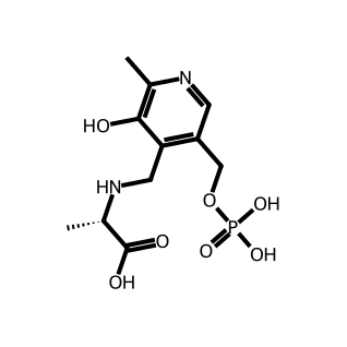 Cc1ncc(COP(=O)(O)O)c(CN[C@@H](C)C(=O)O)c1O